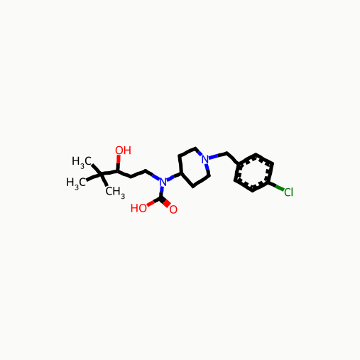 CC(C)(C)C(O)CCN(C(=O)O)C1CCN(Cc2ccc(Cl)cc2)CC1